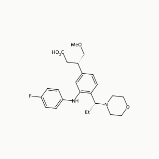 CC[C@H](c1ccc([C@@H](COC)CC(=O)O)cc1Nc1ccc(F)cc1)N1CCOCC1